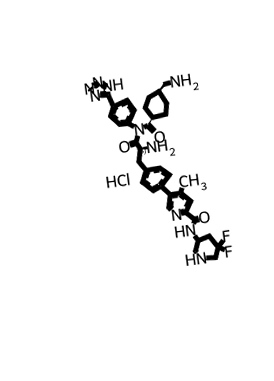 Cc1cc(C(=O)NC2CNCC(F)(F)C2)ncc1-c1ccc(C[C@H](N)C(=O)N(c2ccc(-c3nnn[nH]3)cc2)C(=O)[C@H]2CC[C@H](CN)CC2)cc1.Cl